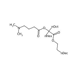 CCCCCCCCCCCCOC(=O)C(CCCCCC)(CCCCCCCC)OC(=O)CCCN(C)C